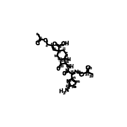 CC(=O)OCC=CC1(C(=O)O)CS[C@@H]2C(NC(=O)C(=NOC(C)=O)c3csc(N)n3)C(=O)N2C1